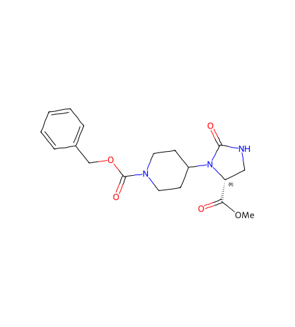 COC(=O)[C@H]1CNC(=O)N1C1CCN(C(=O)OCc2ccccc2)CC1